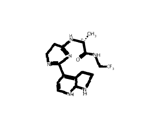 C[C@@H](NC1=NC(C2=C3CCNC3NC=C2)=NCC1)C(=O)NCC(F)(F)F